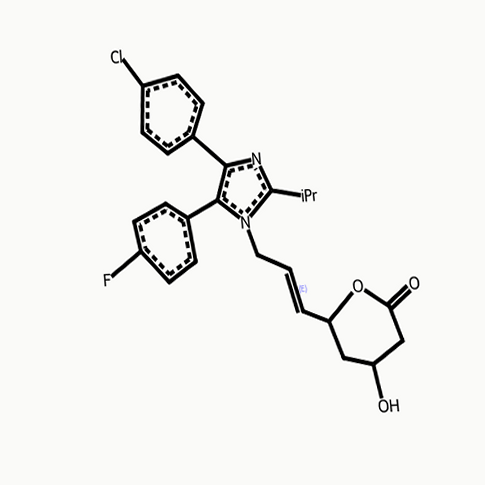 CC(C)c1nc(-c2ccc(Cl)cc2)c(-c2ccc(F)cc2)n1C/C=C/C1CC(O)CC(=O)O1